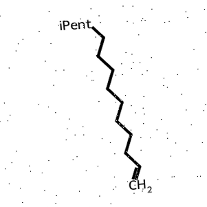 C=CCCCCCCCCC(C)CCC